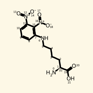 N[C@@H](CCCCNc1cccc([N+](=O)[O-])c1[N+](=O)[O-])C(=O)O